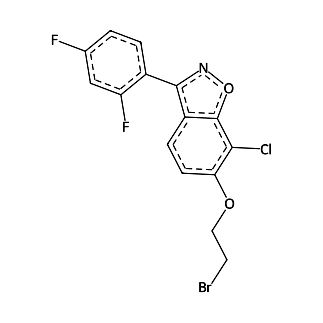 Fc1ccc(-c2noc3c(Cl)c(OCCBr)ccc23)c(F)c1